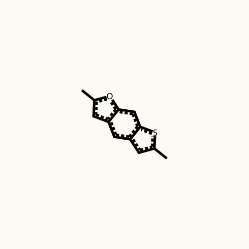 Cc1cc2cc3cc(C)sc3cc2o1